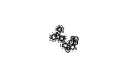 O=S(=O)(Oc1cccc2oc3ccc(-c4ccc5c(c4)c4ccccc4n5-c4ccccc4)cc3c12)C(F)(F)F